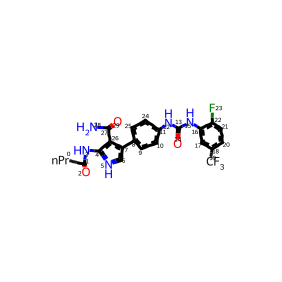 CCCC(=O)Nc1[nH]cc(-c2ccc(NC(=O)Nc3cc(C(F)(F)F)ccc3F)cc2)c1C(N)=O